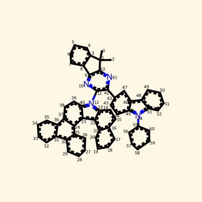 CC1(C)c2ccccc2-c2nc(-n3c4ccc5ccccc5c4c4c5c6ccccc6c6ccccc6c5ccc43)c(-c3ccc4c(c3)c3ccccc3n4-c3ccccc3)nc21